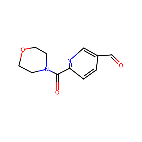 O=Cc1ccc(C(=O)N2CCOCC2)nc1